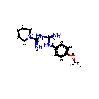 N=C(NC(=N)N1CCCCC1)Nc1ccc(OC(F)(F)F)cc1